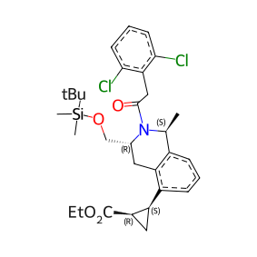 CCOC(=O)[C@@H]1C[C@@H]1c1cccc2c1C[C@H](CO[Si](C)(C)C(C)(C)C)N(C(=O)Cc1c(Cl)cccc1Cl)[C@H]2C